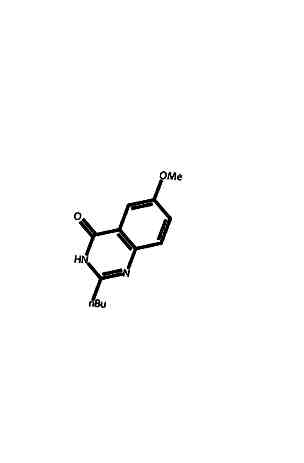 CCCCc1nc2ccc(OC)cc2c(=O)[nH]1